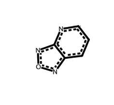 [c]1ccc2nonc2n1